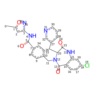 Cc1cc(NC(=O)c2ccc(CN3C(=O)c4ccc(Cl)cc4NC(=O)C3Cc3cccnc3)cc2)no1